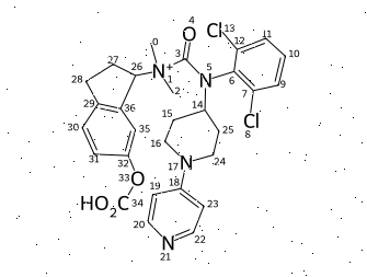 C[N+](C)(C(=O)N(c1c(Cl)cccc1Cl)C1CCN(c2ccncc2)CC1)C1CCc2ccc(OC(=O)O)cc21